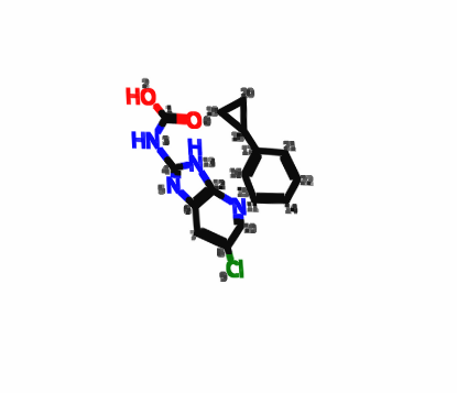 O=C(O)Nc1nc2cc(Cl)cnc2[nH]1.c1ccc(C2CC2)cc1